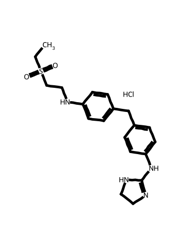 CCS(=O)(=O)CCNc1ccc(Cc2ccc(NC3=NCCN3)cc2)cc1.Cl